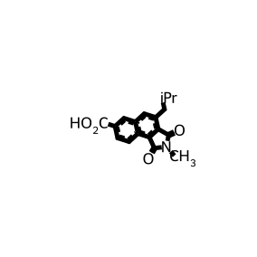 CC(C)Cc1cc2cc(C(=O)O)ccc2c2c1C(=O)N(C)C2=O